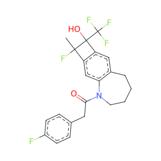 CC1(F)c2cc3c(cc2C1(O)C(F)(F)F)CCCCN3C(=O)Cc1ccc(F)cc1